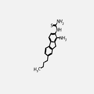 CCCCc1ccc2c(c1)Cc1c-2ccc(NC(N)=S)c1N